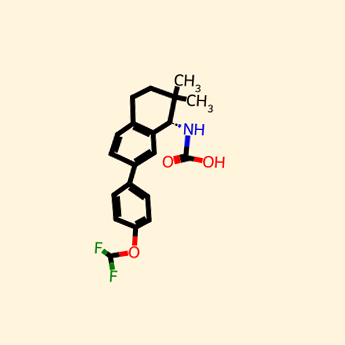 CC1(C)CCc2ccc(-c3ccc(OC(F)F)cc3)cc2[C@H]1NC(=O)O